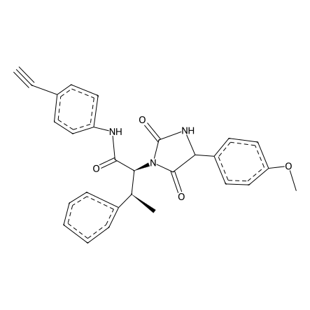 C#Cc1ccc(NC(=O)[C@H]([C@@H](C)c2ccccc2)N2C(=O)NC(c3ccc(OC)cc3)C2=O)cc1